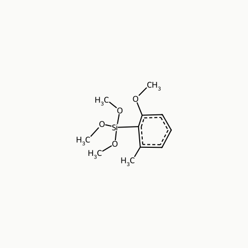 COc1cccc(C)c1[Si](OC)(OC)OC